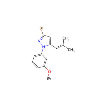 CC(C)=Cc1cc(Br)nn1-c1cccc(OC(C)C)c1